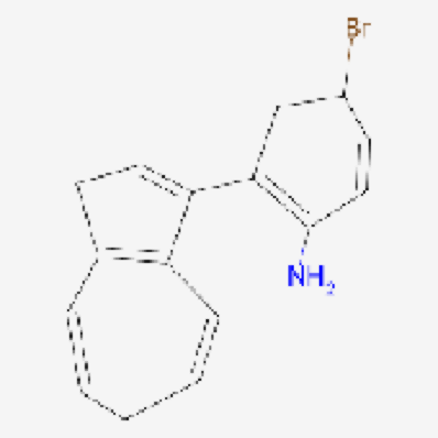 NC1=C(C2=CCC3=C2C=CCC=C3)CC(Br)C=C1